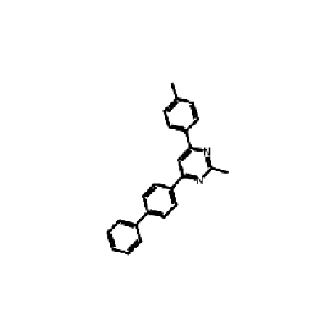 Cc1ccc(-c2cc(-c3ccc(-c4ccccc4)cc3)nc(C)n2)cc1